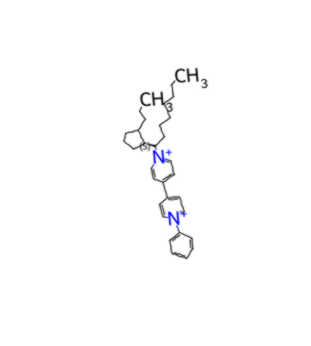 CCCCCCCC([C@H]1CCCC1CCC)[n+]1ccc(-c2cc[n+](-c3ccccc3)cc2)cc1